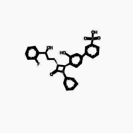 O=C1[C@H](CC[C@H](O)c2ccccc2F)[C@@H](c2ccc(-c3cccc(S(=O)(=O)O)c3)cc2O)N1c1ccccc1